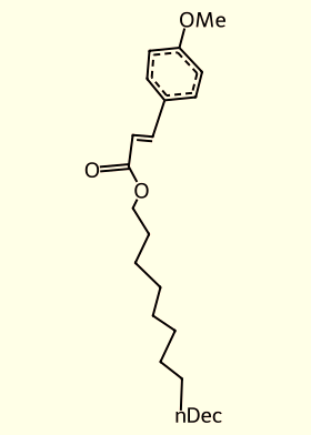 CCCCCCCCCCCCCCCCCCOC(=O)C=Cc1ccc(OC)cc1